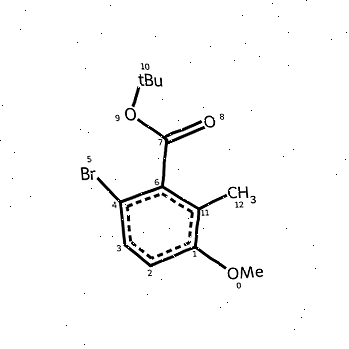 COc1ccc(Br)c(C(=O)OC(C)(C)C)c1C